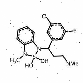 CNCCC(c1cc(F)cc(Cl)c1)N1c2ccccc2N(C)S1(O)O